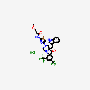 COCCC(=O)Nc1nc(N2CCN(C)C(Cc3c[nH]c4ccccc34)(C(=O)c3cc(C(F)(F)F)cc(C(F)(F)F)c3)C2)cs1.Cl